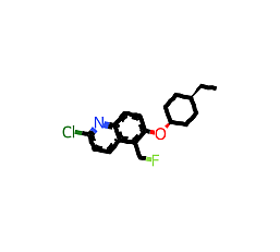 CC[C@H]1CC[C@@H](Oc2ccc3nc(Cl)ccc3c2CF)CC1